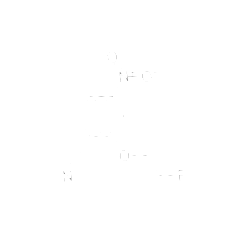 N#Cc1ccc([N+](=O)[O-])cc1OCCF